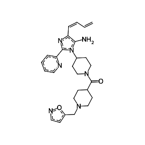 C=C/C=C\c1nc(-c2ccccn2)n(C2CCN(C(=O)C3CCN(Cc4ccno4)CC3)CC2)c1N